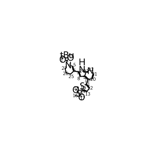 CC(C)(C)OC(=O)N1C=C(c2cc3c(-c4ccc(S(C)(=O)=O)s4)ccnc3[nH]2)CCC1